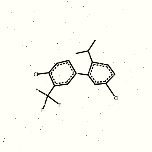 CC(C)c1ccc(Cl)cc1-c1ccc(Cl)c(C(F)(F)F)c1